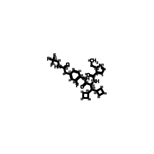 CCn1nccc1C(=O)NC(C(=O)Nc1ccc(CC(=O)NCC(F)(F)F)cc1F)C(C1CCC1)C1CCC1